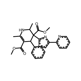 COC(=O)C1=C(C)NC(C)C(C(=O)OC)(c2nc(-c3ccccn3)cs2)C1c1ccccc1